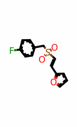 O=S(=O)(C=Cc1ccco1)Cc1ccc(F)cc1